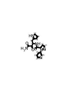 NC(=O)C(=O)C(Cc1ccc[nH]1)NC(=O)c1ccnn1-c1cccnc1